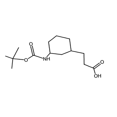 CC(C)(C)OC(=O)NC1CCCC(CCC(=O)O)C1